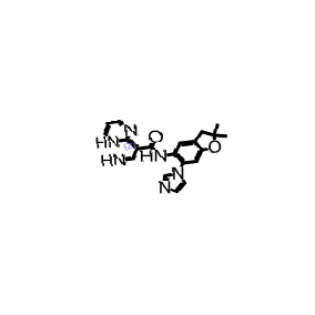 CC1(C)Cc2cc(NC(=O)/C(C=N)=C3\N=CC=CN3)c(-n3ccnc3)cc2O1